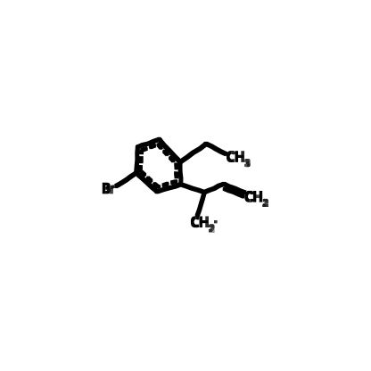 [CH2]C(C=C)c1cc(Br)ccc1CC